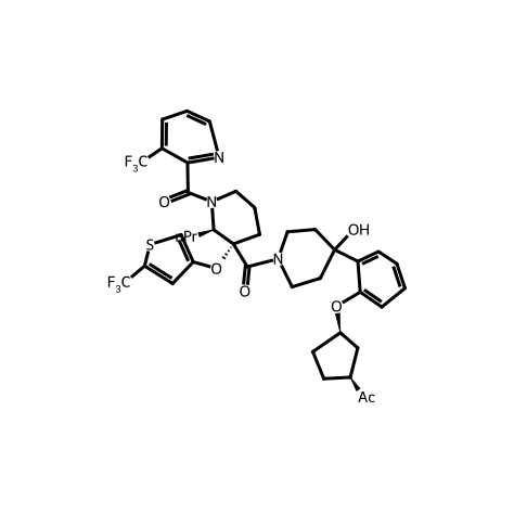 CCC[C@H]1N(C(=O)c2ncccc2C(F)(F)F)CCC[C@@]1(Oc1csc(C(F)(F)F)c1)C(=O)N1CCC(O)(c2ccccc2O[C@@H]2CC[C@H](C(C)=O)C2)CC1